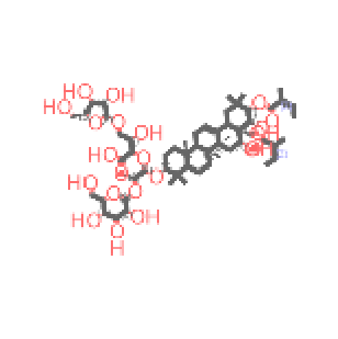 C/C=C(/C)C(=O)O[C@H]1[C@H](OC(=O)/C(C)=C\C)[C@@]2(CO)C(CC1(C)C)C1=CCC3[C@@]4(C)CC[C@H](O[C@H](OC(C(=O)O)[C@@H](O)CO[C@@H]5O[C@@H](CO)C(O)[C@@H]5O)[C@H](C)O[C@@H]5OC(CO)[C@H](O)C(O)[C@@H]5O)C(C)(C)C4CC[C@@]3(C)[C@]1(C)C[C@H]2O